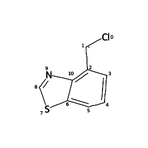 Cl[CH]c1cccc2scnc12